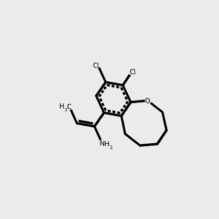 C/C=C(/N)c1cc(Cl)c(Cl)c2c1CCCCCO2